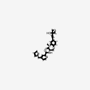 CN1C(=O)[C@@H](NC(=O)c2cc(Cn3cccn3)ccn2)COc2ccc(C#CC3(O)COC3)cc21